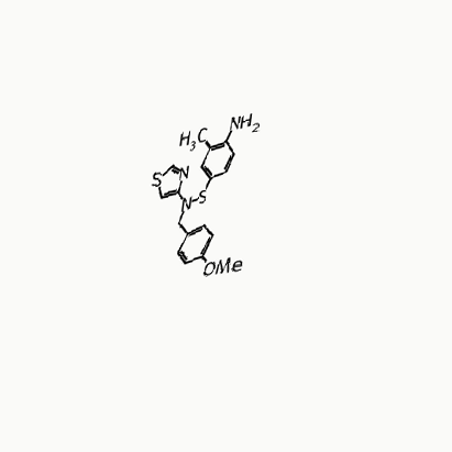 COc1ccc(CN(Sc2ccc(N)c(C)c2)c2cscn2)cc1